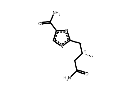 C[C@@H]([CH]c1nc(C(N)=O)cs1)CC(N)=O